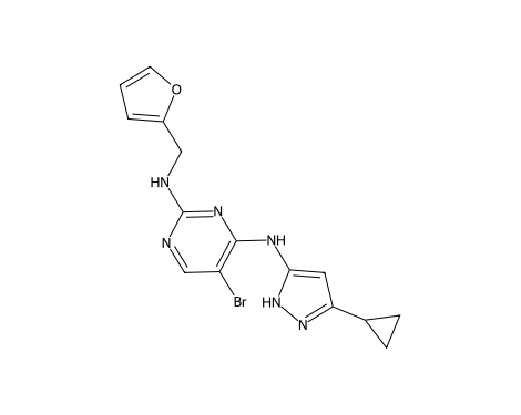 Brc1cnc(NCc2ccco2)nc1Nc1cc(C2CC2)n[nH]1